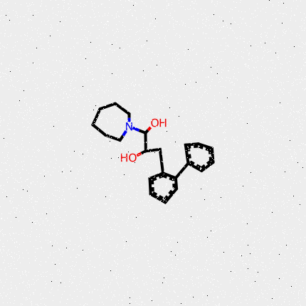 OC(Cc1ccccc1-c1ccccc1)C(O)N1CCCCCC1